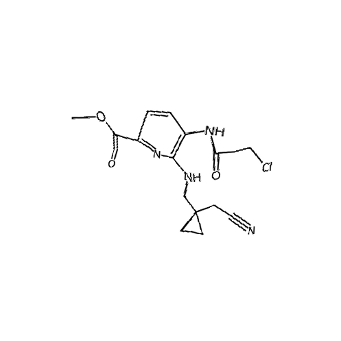 COC(=O)c1ccc(NC(=O)CCl)c(NCC2(CC#N)CC2)n1